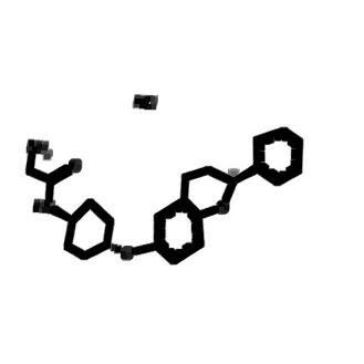 Cl.NCC(=O)N[C@H]1CC[C@H](Oc2ccc3c(c2)CC[C@@H](c2ccccc2)O3)CC1